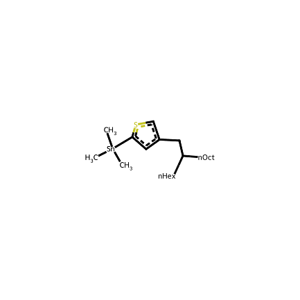 CCCCCCCCC(CCCCCC)Cc1cs[c]([Sn]([CH3])([CH3])[CH3])c1